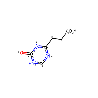 O=C(O)CCc1nc[nH]c(=O)n1